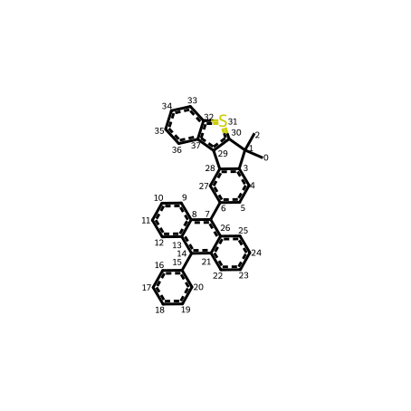 CC1(C)c2ccc(-c3c4ccccc4c(-c4ccccc4)c4ccccc34)cc2-c2c1sc1ccccc21